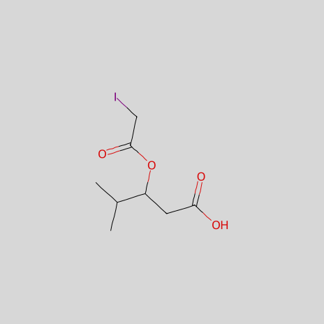 CC(C)C(CC(=O)O)OC(=O)CI